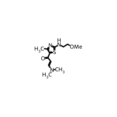 COCCNc1nc(C)c(C(=O)C=CN(C)C)s1